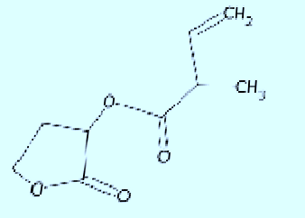 C=CC(C)C(=O)OC1CCOC1=O